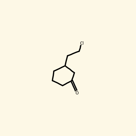 O=C1CCCC(CCCl)C1